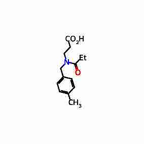 CCC(=O)N(CCC(=O)O)Cc1ccc(C)cc1